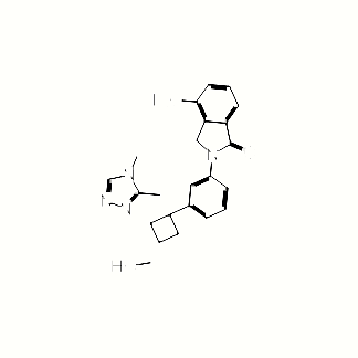 Cn1cnnc1C[C@]1(c2cccc(N3Cc4c(cccc4C(F)(F)F)C3=O)c2)C[C@H](CO)C1